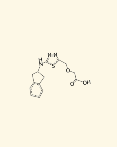 O=C(O)COCc1nnc(NC2Cc3ccccc3C2)s1